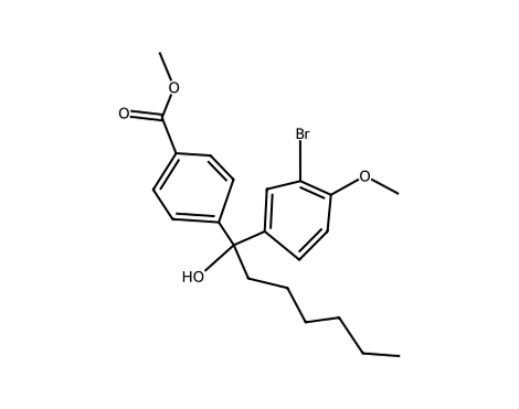 CCCCCCC(O)(c1ccc(C(=O)OC)cc1)c1ccc(OC)c(Br)c1